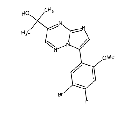 COc1cc(F)c(Br)cc1-c1cnc2nc(C(C)(C)O)cnn12